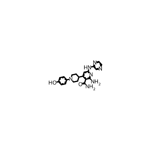 NC(=O)c1c(C2CCN(c3ccc(O)cc3)CC2)cc(Nc2cnccn2)nc1N